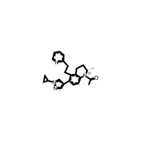 CC(=O)N1c2ccc(-c3cnn(C4CC4)c3)c(CCc3ccccn3)c2CC[C@@H]1C